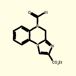 CCOC(=O)c1cn2c(n1)CN(C(=O)CC)c1ccccc1-2